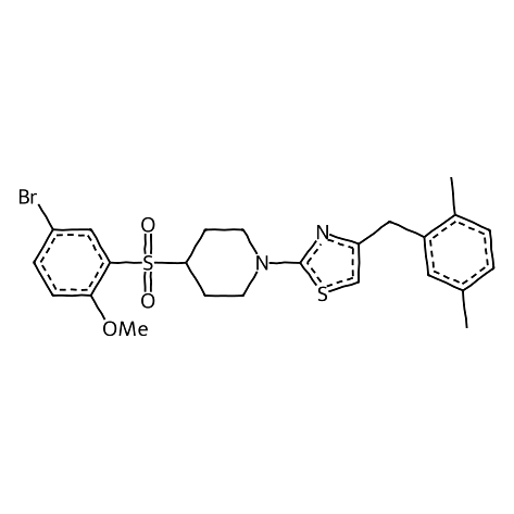 COc1ccc(Br)cc1S(=O)(=O)C1CCN(c2nc(Cc3cc(C)ccc3C)cs2)CC1